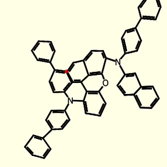 c1ccc(-c2ccc(N(c3ccc(-c4ccccc4)cc3)c3cccc4c3-c3cccc5ccc(N(c6ccc(-c7ccccc7)cc6)c6ccc7ccccc7c6)c(c35)O4)cc2)cc1